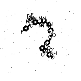 C[C@H](Oc1cc(-c2nn(C)c3c(-c4cnn(C5CCN(C(=O)OCC6CCN(c7cccc8c7C(=O)N(C7CCC(=O)NC7=O)C8=O)CC6)CC5)c4)cnc(N)c23)ccc1NS(=O)(=O)C(F)F)c1ccc(F)cc1